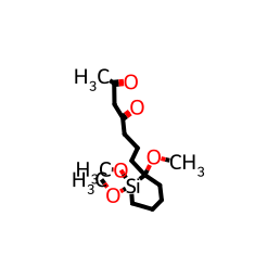 COC1(CCCC(=O)CC(C)=O)CCCC[Si]1(OC)OC